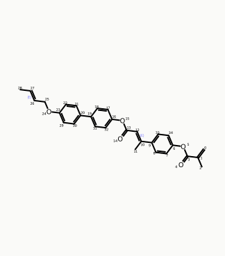 C=C(C)C(=O)Oc1ccc(/C(C)=C/C(=O)Oc2ccc(-c3ccc(OC/C=C/C)cc3)cc2)cc1